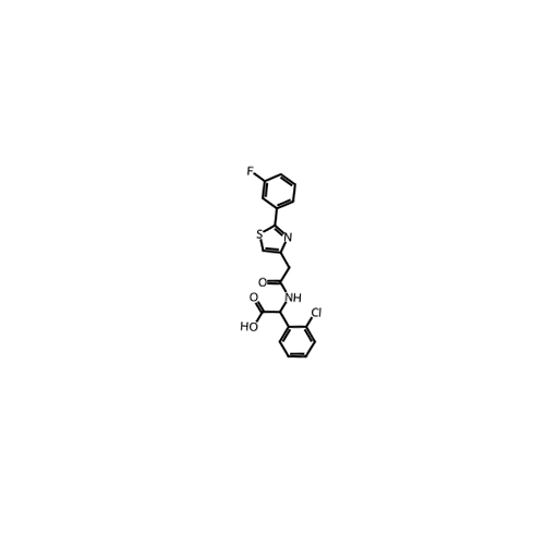 O=C(Cc1csc(-c2cccc(F)c2)n1)NC(C(=O)O)c1ccccc1Cl